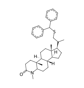 CC(CSC(c1ccccc1)c1ccccc1)[C@H]1CC[C@H]2[C@@H]3CCC4N(C)C(=O)CC[C@]4(C)[C@H]3CC[C@]12C